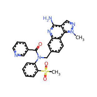 Cn1ncc2c(N)nc3cc(CN(C(=O)c4cccnc4)c4ccccc4S(C)(=O)=O)ccc3c21